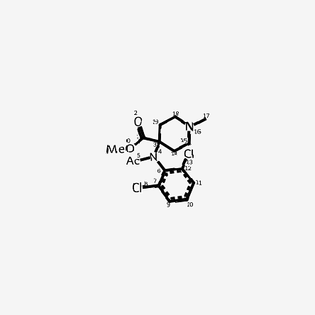 COC(=O)C1(N(C(C)=O)c2c(Cl)cccc2Cl)CCN(C)CC1